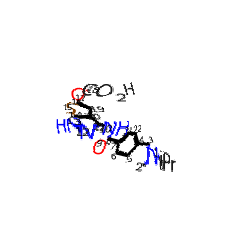 CC(C)N(C)Cc1ccc(C(=O)Nc2n[nH]c3sc(OC(=O)O)cc23)cc1